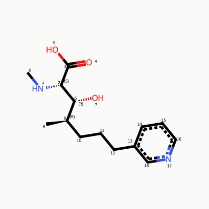 CN[C@H](C(=O)O)[C@H](O)[C@H](C)CCCc1cccnc1